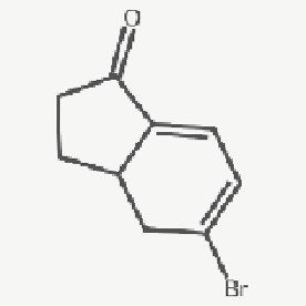 O=C1CCC2CC(Br)=CC=C12